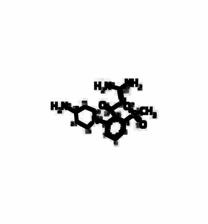 CS(=O)(=O)c1cccc(N2CCC(N)CC2)c1C(=O)N=C(N)N